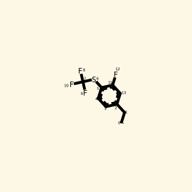 [CH2]Cc1ccc(SC(F)(F)F)c(F)c1